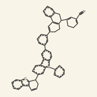 N#CC1=CCCC(C2Cc3ccccc3C3=C2CCC(c2cccc(-c4ccc5c(c4)c4ccc(C6CC=Cc7c6oc6ccccc76)cc4n5-c4ccccc4)c2)=C3)=C1